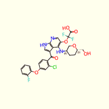 O=C(c1ccc(Oc2ccccc2F)cc1Cl)c1c[nH]c2ncc(OC(F)(F)C(=O)O)c(N[C@@H]3CC[C@@H](CO)OC3)c12